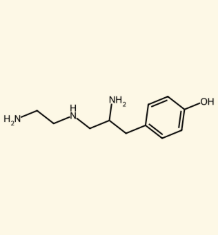 NCCNCC(N)Cc1ccc(O)cc1